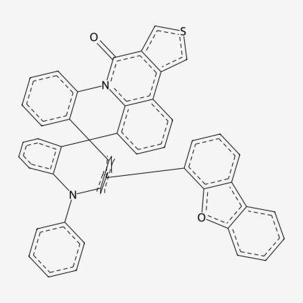 O=c1c2cscc2c2cccc3c2n1-c1ccccc1C31c2ccccc2N(c2ccccc2)c2ccc(-c3cccc4c3oc3ccccc34)cc21